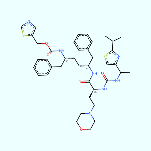 CC(C)c1nc(C(C)NC(=O)N[C@@H](CCN2CCOCC2)C(=O)N[C@H](CC[C@H](Cc2ccccc2)NC(=O)OCc2cncs2)Cc2ccccc2)cs1